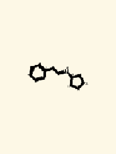 C(Cc1ccccc1)=NC1CCCC1